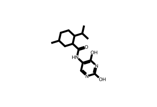 CC1CCC(C(C)C)C(C(=O)Nc2cnc(O)nc2O)C1